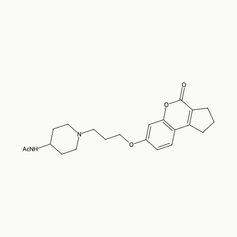 CC(=O)NC1CCN(CCCOc2ccc3c4c(c(=O)oc3c2)CCC4)CC1